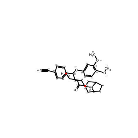 CCCC(=O)N1CC2CCC(C1)N2CCCC(Oc1ccc(OC)c(OC)c1)c1ccc(C#N)cc1